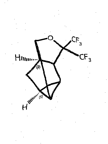 FC(F)(F)C1(C(F)(F)F)OC2C3C4C1[C@H]2C[C@H]34